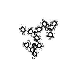 c1ccc(-c2ccc(N(c3ccc(-c4cccc5c4oc4c(-c6ccccc6)cc6ccccc6c45)cc3)c3ccc(-c4cccc5c4oc4c(-c6ccccc6)cc6ccccc6c45)cc3)cc2)cc1